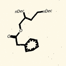 CCCCCCCCCCCCC(CCCCCCCCCC)COC(=O)Cc1ccccc1